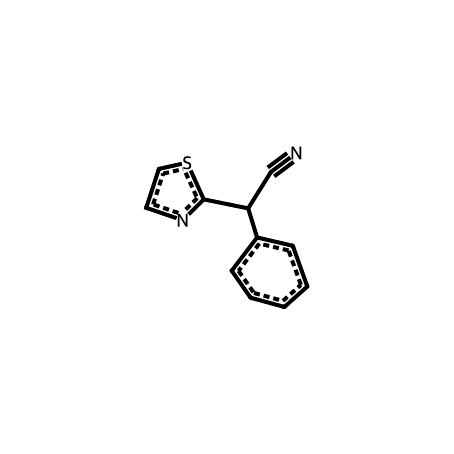 N#CC(c1ccccc1)c1nccs1